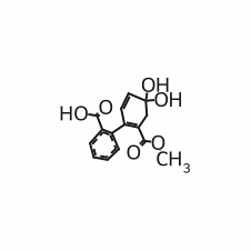 COC(=O)C1=C(c2ccccc2C(=O)O)C=CC(O)(O)C1